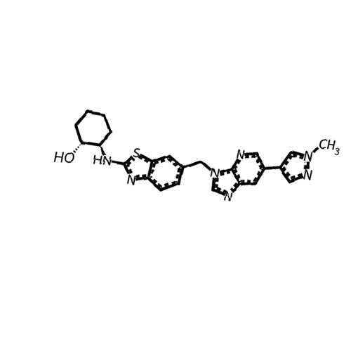 Cn1cc(-c2cnc3c(c2)ncn3Cc2ccc3nc(N[C@@H]4CCCC[C@H]4O)sc3c2)cn1